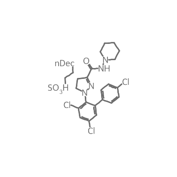 CCCCCCCCCCCCS(=O)(=O)O.O=C(NN1CCCCC1)C1=NN(c2c(Cl)cc(Cl)cc2-c2ccc(Cl)cc2)CC1